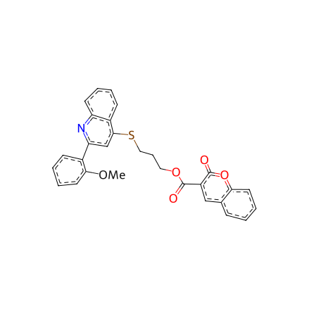 COc1ccccc1-c1cc(SCCCOC(=O)c2cc3ccccc3oc2=O)c2ccccc2n1